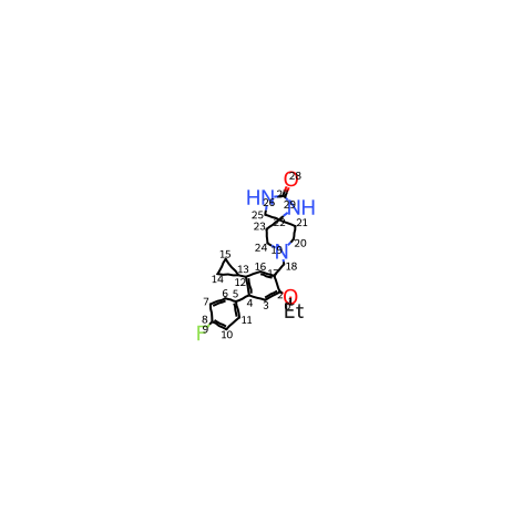 CCOc1cc(-c2ccc(F)cc2)c(C2CC2)cc1CN1CCC2(CC1)CNC(=O)N2